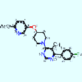 COc1ccc(OC2CCN(c3ncnc(-c4ccc(F)cc4)c3C)CC2)cn1